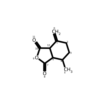 C=C1CCC(C)C2C(=O)OC(=O)C12